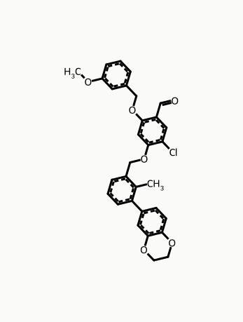 COc1cccc(COc2cc(OCc3cccc(-c4ccc5c(c4)OCCO5)c3C)c(Cl)cc2C=O)c1